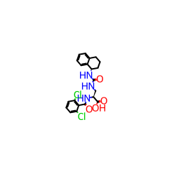 O=C(NC[C@H](NC(=O)c1c(Cl)cccc1Cl)C(=O)O)N[C@H]1CCCc2ccccc21